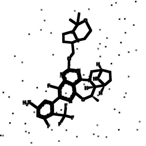 C[C@@H]1Oc2nc(-c3cc(N)cc(F)c3C(F)(F)F)c(F)c3nc(OCC4CCC5N4CCOC5(C)C)nc(c23)N2C[C@H]3CC[C@H](N3)[C@@H]12